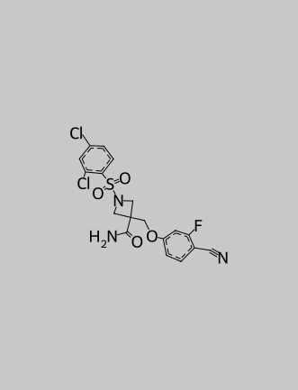 N#Cc1ccc(OCC2(C(N)=O)CN(S(=O)(=O)c3ccc(Cl)cc3Cl)C2)cc1F